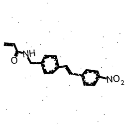 C=CC(=O)NCc1ccc(C=Cc2ccc([N+](=O)[O-])cc2)cc1